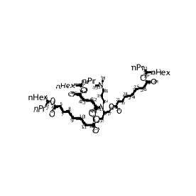 CCCCCCC(CCC)OC(=O)CCCCCCC(=O)OCC(COC(=O)CCCCCCC(=O)OC(CCC)CCCCCC)N(CCCN(C)C)C(=O)CCC(=O)OC(CCC)CCCCCC